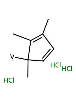 CC1=C(C)[C](C)([V])C=C1.Cl.Cl.Cl